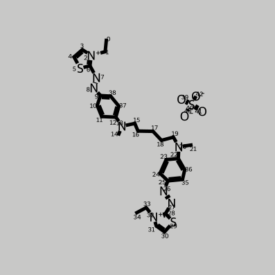 CC[n+]1ccsc1/N=N/c1ccc(N(C)CCCCCN(C)c2ccc(/N=N/c3scc[n+]3CC)cc2)cc1.O=S(=O)([O-])[O-]